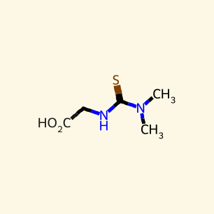 CN(C)C(=S)NCC(=O)O